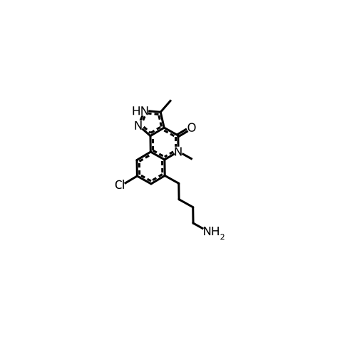 Cc1[nH]nc2c1c(=O)n(C)c1c(CCCCN)cc(Cl)cc21